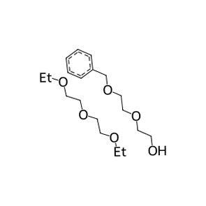 CCOCCOCCOCC.OCCOCCOCc1ccccc1